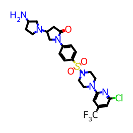 NC1CCN(C2CC(=O)N(c3ccc(S(=O)(=O)N4CCN(c5cc(C(F)(F)F)cc(Cl)n5)CC4)cc3)C2)C1